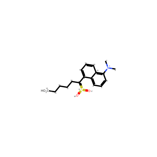 CN(C)c1cccc2c(C(CCCCC(=O)O)=S(=O)=O)cccc12